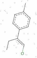 CCC(=CCl)c1ccc(C)cc1